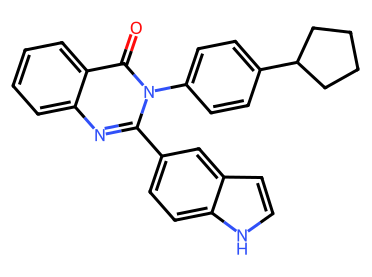 O=c1c2ccccc2nc(-c2ccc3[nH]ccc3c2)n1-c1ccc(C2CCCC2)cc1